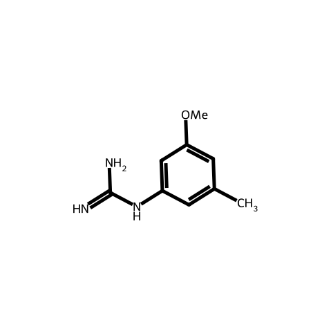 COc1cc(C)cc(NC(=N)N)c1